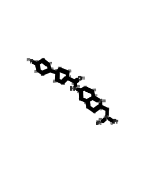 CC(C)N(Cc1ccc2cc(NC(=O)c3ccc(-c4ccc(F)cc4)cc3)ccc2n1)C(C)C